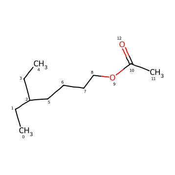 CCC(CC)CCCCOC(C)=O